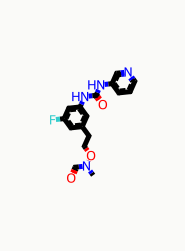 CN(C=O)OCCc1cc(F)cc(NC(=O)Nc2cccnc2)c1